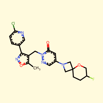 Cc1onc(-c2ccc(Cl)nc2)c1Cn1ncc(N2CC3(CCC(F)CO3)C2)cc1=O